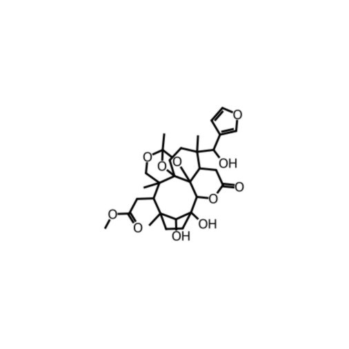 COC(=O)CC1C2(C)CCC(O)(C2O)C2OC(=O)CC3C(C)(C(O)c4ccoc4)CCC45OC(C)(OCC14C)OC325